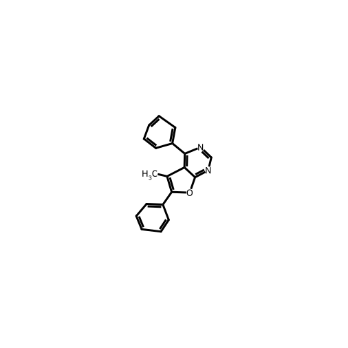 Cc1c(-c2ccccc2)oc2ncnc(-c3ccccc3)c12